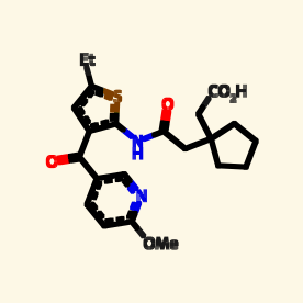 CCc1cc(C(=O)c2ccc(OC)nc2)c(NC(=O)CC2(CC(=O)O)CCCC2)s1